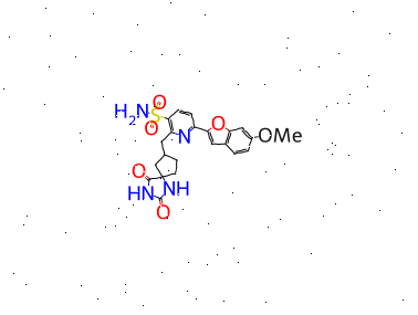 COc1ccc2cc(-c3ccc(S(N)(=O)=O)c(CC4CCC5(C4)NC(=O)NC5=O)n3)oc2c1